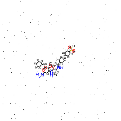 CC(C)C[C@H](N[C@@H](c1ccc(-c2ccc(S(C)(=O)=O)cc2)cc1)C(F)(F)F)C(=O)N[C@@H](CC(N)=O)C(=O)OCc1ccccc1